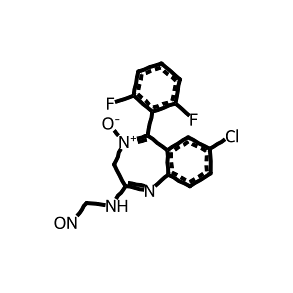 O=NCNC1=Nc2ccc(Cl)cc2C(c2c(F)cccc2F)=[N+]([O-])C1